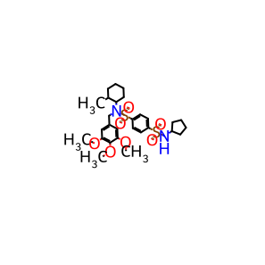 COc1cc(CN(C2CCCCC2C)S(=O)(=O)c2ccc(S(=O)(=O)NC3CCCC3)cc2)cc(OC)c1OC